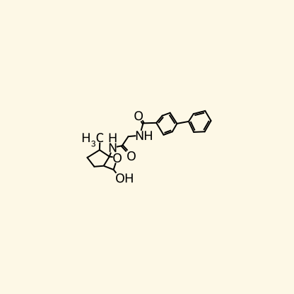 CC1CCC2C(O)OC12NC(=O)CNC(=O)c1ccc(-c2ccccc2)cc1